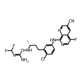 C[C@H](CCc1cc(Nc2ncc(F)c3cc(C#N)cnc23)ccc1Cl)NO/C(N)=N\C(F)F